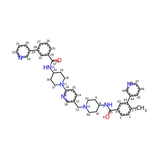 Cc1ccc(C(=O)NC2CCN(Cc3ccc(N4CCC(NC(=O)c5cccc(-c6cccnc6)c5)CC4)nc3)CC2)cc1-c1cccnc1